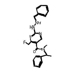 CC(c1ccccc1)N(C)C(=O)c1cnc(NNCc2ccccc2)nc1CF